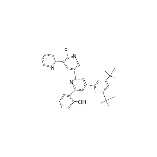 CC(C)(C)c1cc(-c2cc(-c3cnc(F)c(-c4ccccn4)c3)nc(-c3ccccc3O)c2)cc(C(C)(C)C)c1